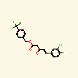 O=C(C=Cc1ccc(Cl)c(Cl)c1)CC(=O)OCc1ccc(C(F)(F)F)cc1